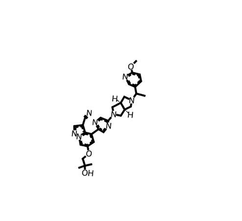 COc1ccc(C(C)N2C[C@H]3CN(c4cnc(-c5cc(OCC(C)(C)O)cn6ncc(C#N)c56)cn4)C[C@H]3C2)cn1